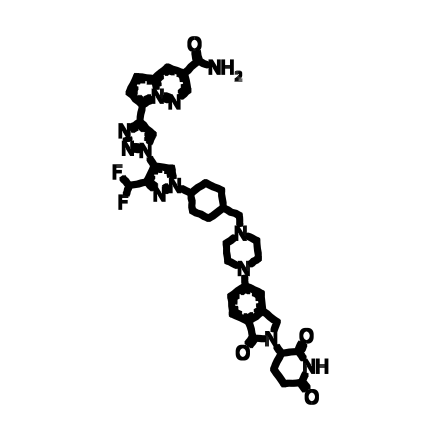 NC(=O)c1cnn2c(-c3cn(-c4cn(C5CCC(CN6CCN(c7ccc8c(c7)CN(C7CCC(=O)NC7=O)C8=O)CC6)CC5)nc4C(F)F)nn3)ccc2c1